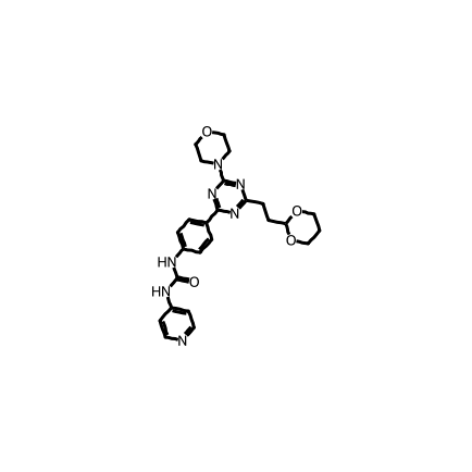 O=C(Nc1ccncc1)Nc1ccc(-c2nc(CCC3OCCCO3)nc(N3CCOCC3)n2)cc1